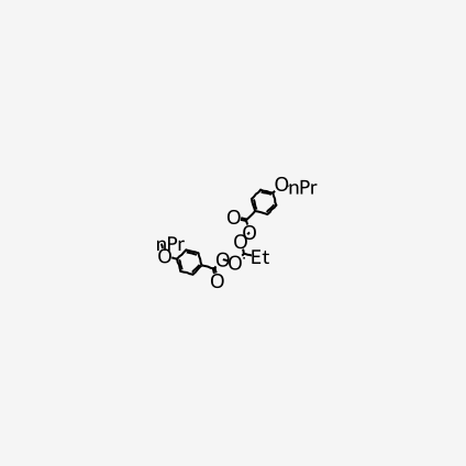 [CH2]C[C](OOC(=O)c1ccc(OCCC)cc1)OOC(=O)c1ccc(OCCC)cc1